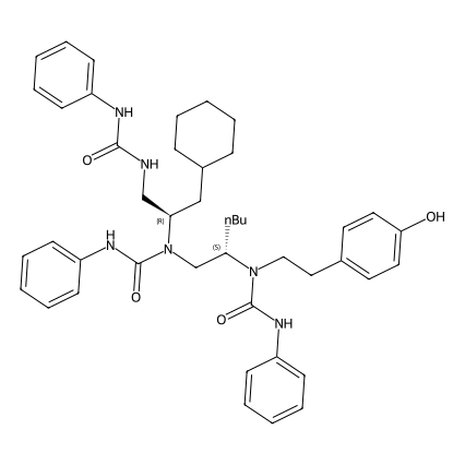 CCCC[C@@H](CN(C(=O)Nc1ccccc1)[C@@H](CNC(=O)Nc1ccccc1)CC1CCCCC1)N(CCc1ccc(O)cc1)C(=O)Nc1ccccc1